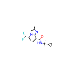 Cc1cn2c(C(F)F)ccc(C(=O)NC(C)(C)C3CC3)c2n1